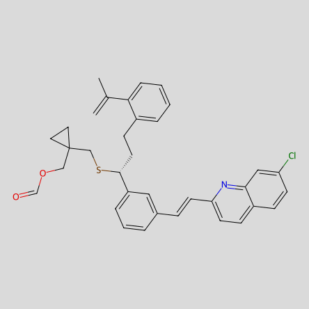 C=C(C)c1ccccc1CC[C@@H](SCC1(COC=O)CC1)c1cccc(/C=C/c2ccc3ccc(Cl)cc3n2)c1